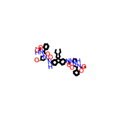 CCCCC1(CCCC)c2cc(NC(=O)[C@@H]3C[C@H](COC)CN3C(=O)C(NC(=O)OC)c3ccccc3)ccc2-c2ccc(NC(=O)[C@@H]3CCCN3C(=O)[C@H](NC(=O)OC)c3ccccc3)cc21